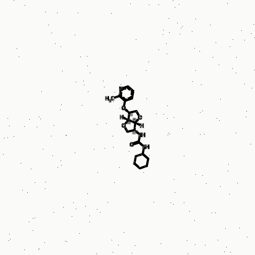 Cc1ncccc1O[C@H]1CO[C@H]2[C@@H]1OC[C@@H]2NC(=O)NC1CCCCC1